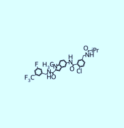 CC(C)C(=O)NCc1ccc(Cl)c(C(=O)Nc2ccc3c(c2)cc(C(=O)NCc2cc(F)cc(C(F)(F)F)c2)n3C)c1